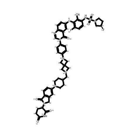 N#Cc1c(NS(=O)(=O)N2CC[C@@H](F)C2)ccc(F)c1Oc1ccc2ncn(-c3ccc(N4CC5(CN(CC6CCN(c7ccc8c(c7)CN(C7CCC(=O)NC7=O)C8=O)CC6)C5)C4)cc3)c(=O)c2c1